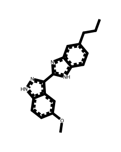 CCCc1ccc2[nH]c(-c3n[nH]c4ccc(OC)cc34)nc2c1